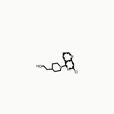 OCCC1CCN(c2nc(Cl)cc3ncccc23)CC1